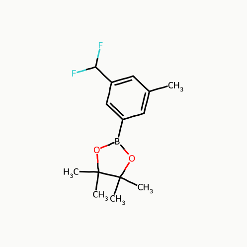 Cc1cc(B2OC(C)(C)C(C)(C)O2)cc(C(F)F)c1